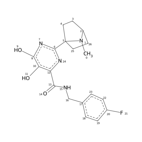 CN1C2CCC1(c1nc(O)c(O)c(C(=O)NCc3ccc(F)cc3)n1)CC2